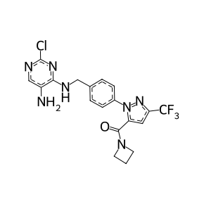 Nc1cnc(Cl)nc1NCc1ccc(-n2nc(C(F)(F)F)cc2C(=O)N2CCC2)cc1